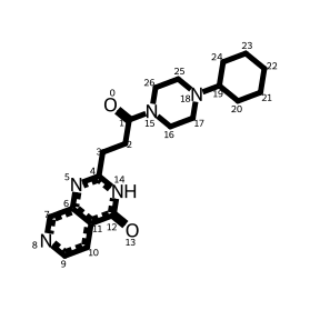 O=C(CCc1nc2cnccc2c(=O)[nH]1)N1CCN(C2CCCCC2)CC1